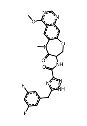 COc1ncnc2cc3c(cc12)N(C)C(=O)C(NC(=O)c1n[nH]c(Cc2cc(F)cc(F)c2)n1)CO3